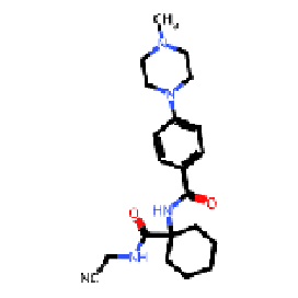 CN1CCN(c2ccc(C(=O)NC3(C(=O)NCC#N)CCCCC3)cc2)CC1